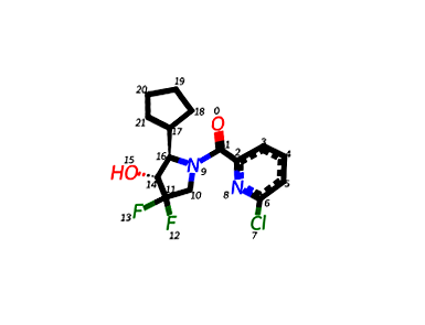 O=C(c1cccc(Cl)n1)N1CC(F)(F)[C@H](O)[C@H]1C1CCCC1